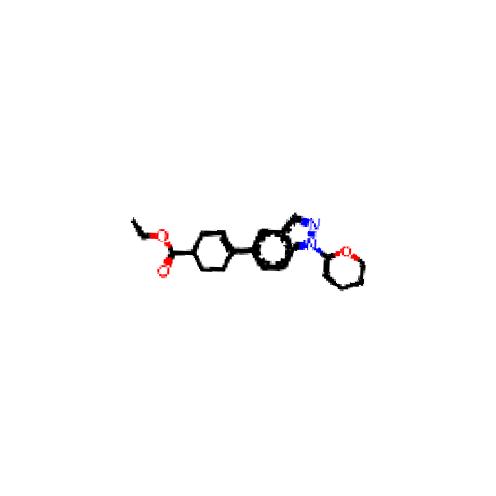 CCOC(=O)C1CC=C(c2ccc3c(cnn3C3CCCCO3)c2)CC1